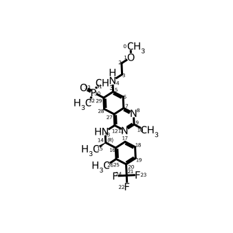 COCCNc1cc2nc(C)nc(N[C@H](C)c3cccc(C(F)(F)F)c3C)c2cc1P(C)(C)=O